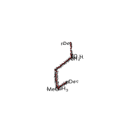 CCCCCCCCCCCCCCCCCCCCCCCC[C@@H](C(=O)O)[C@H](O)CCCCCCCCCCCCCCCCC[C@@H]1C[C@@H]1CCCCCCCCCCCCCCCC[C@@H](OC)[C@H](C)CCCCCCCCCCCCCCCCCC